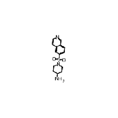 NC1CCN(S(=O)(=O)c2ccc3cnccc3c2)CC1